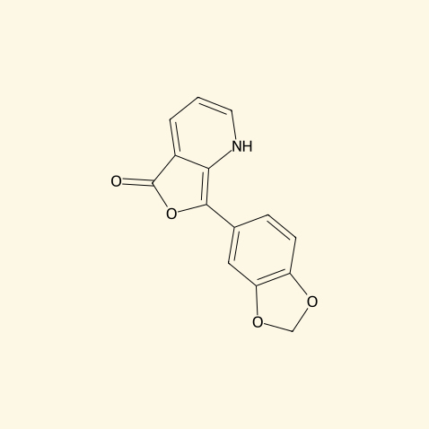 O=c1oc(-c2ccc3c(c2)OCO3)c2[nH]cccc1-2